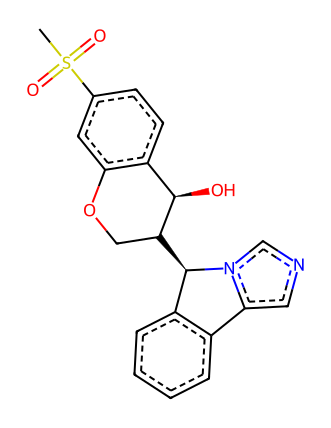 CS(=O)(=O)c1ccc2c(c1)OCC([C@@H]1c3ccccc3-c3cncn31)[C@@H]2O